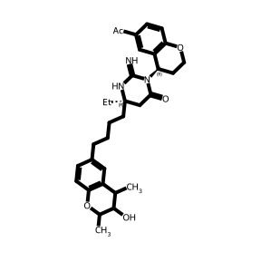 CC[C@@]1(CCCCc2ccc3c(c2)C(C)C(O)C(C)O3)CC(=O)N([C@@H]2CCOc3ccc(C(C)=O)cc32)C(=N)N1